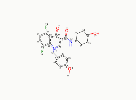 COc1ccc(Cn2cc(C(=O)N[C@H]3CC[C@H](O)CC3)c(=O)c3c(F)ccc(F)c32)cc1